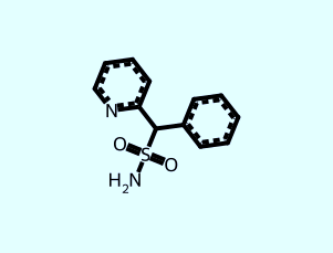 NS(=O)(=O)C(c1ccccc1)c1ccccn1